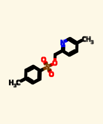 Cc1ccc(S(=O)(=O)OCc2ccc(C)cn2)cc1